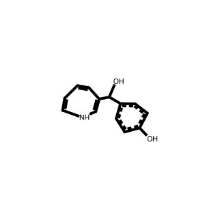 Oc1ccc(C(O)C2=CNC=CC=C2)cc1